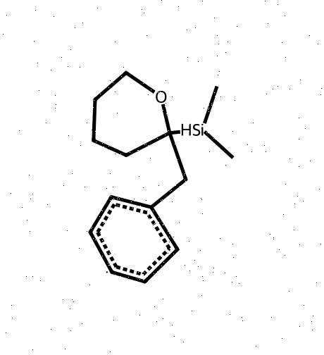 C[SiH](C)C1(Cc2cc[c]cc2)CCCCO1